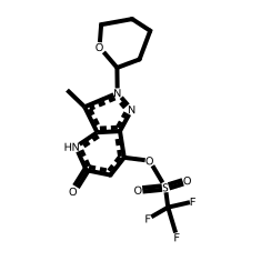 Cc1c2[nH]c(=O)cc(OS(=O)(=O)C(F)(F)F)c2nn1C1CCCCO1